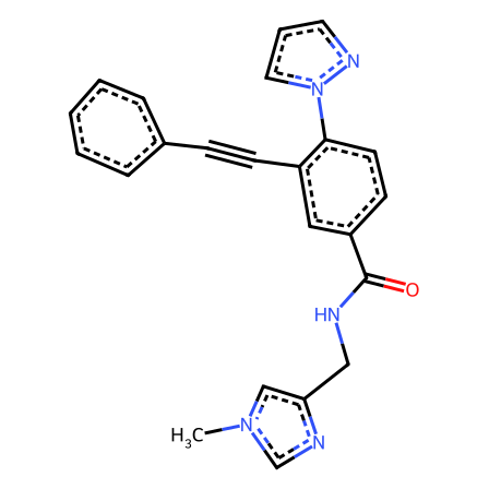 Cn1cnc(CNC(=O)c2ccc(-n3cccn3)c(C#Cc3ccccc3)c2)c1